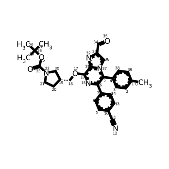 Cc1ccc(-c2c(-c3ccc(C#N)cc3)nc(OC[C@@H]3CCN(C(=O)OC(C)(C)C)C3)c3nc(C=O)cn23)cc1